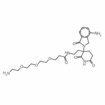 NCCOCCOCCOCCC(=O)NCCC1(N2Cc3c(N)cccc3C2=O)CCC(=O)NC1=O